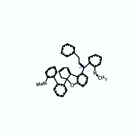 C=Nc1ccccc1/C(=C\Cc1ccccc1)c1cccc2c1C1=CC=CCC1(c1ccccc1-c1ccccc1NC)O2